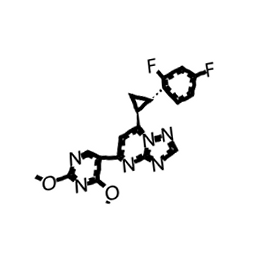 COc1ncc(-c2cc([C@H]3C[C@@H]3c3ccc(F)cc3F)n3ncnc3n2)c(OC)n1